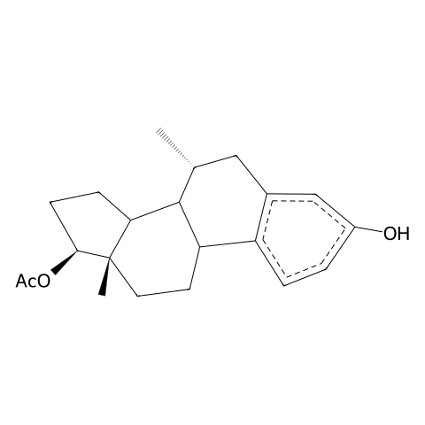 CC(=O)O[C@H]1CCC2C3C(CC[C@@]21C)c1ccc(O)cc1C[C@H]3C